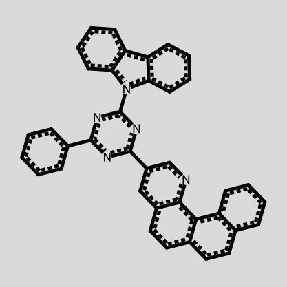 c1ccc(-c2nc(-c3cnc4c(ccc5ccc6ccccc6c54)c3)nc(-n3c4ccccc4c4ccccc43)n2)cc1